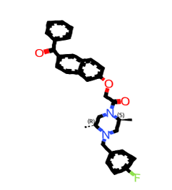 C[C@@H]1CN(C(=O)COc2ccc3cc(C(=O)c4ccccc4)ccc3c2)[C@@H](C)CN1Cc1ccc(F)cc1